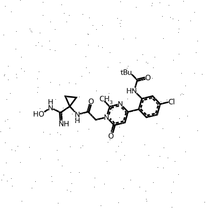 Cc1nc(-c2ccc(Cl)cc2NC(=O)C(C)(C)C)cc(=O)n1CC(=O)NC1(C(=N)NO)CC1